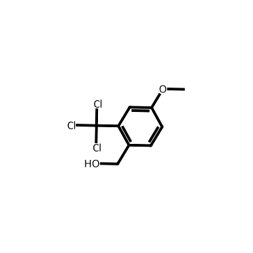 COc1ccc(CO)c(C(Cl)(Cl)Cl)c1